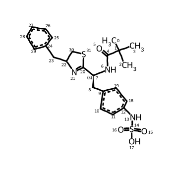 CC(C)(C)C(=O)N[C@@H](Cc1ccc(NS(=O)(=O)O)cc1)C1=NC(Cc2ccccc2)CS1